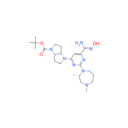 C[C@H]1CN(C)CCCN1c1nc(/C(N)=N/O)cc(N2CCC3C2CCN3C(=O)OC(C)(C)C)n1